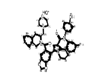 Cl.O=C(c1cc(-c2cc3c(cc2C(=O)N2Cc4ccccc4C[C@H]2CN2CCOCC2)OCO3)n2c1CCCC2)N(c1ccc(O)cc1)c1cccc(F)c1